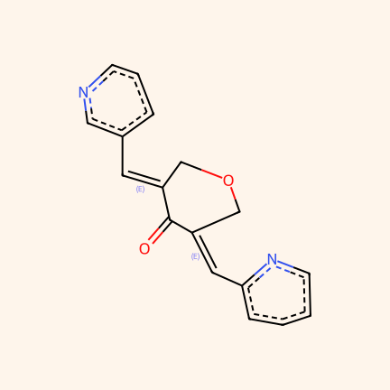 O=C1/C(=C/c2cccnc2)COC/C1=C\c1ccccn1